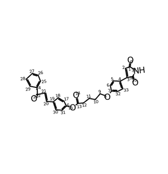 O=C1C=C(c2ccc(OCCCCC(=O)Oc3ccc(C=CC(=O)c4ccccc4)cc3)cc2)C(=O)N1